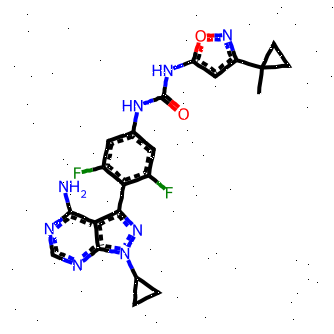 CC1(c2cc(NC(=O)Nc3cc(F)c(-c4nn(C5CC5)c5ncnc(N)c45)c(F)c3)on2)CC1